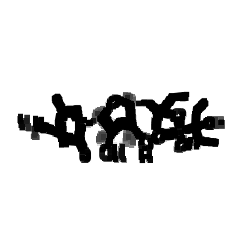 CCC(C)(C[C@H]1O[C@@H](n2cc(C)c(N)nc2=O)[C@H](O)[C@@H]1O)OP(=O)(O)C(O)(CC)CC